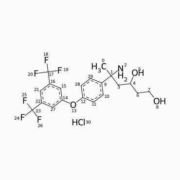 CC(N)(CC(O)CCO)c1ccc(Oc2cc(C(F)(F)F)cc(C(F)(F)F)c2)cc1.Cl